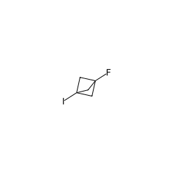 FC12CC(I)(C1)C2